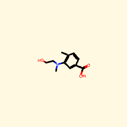 Cc1ccc(C(=O)O)cc1N(C)CCO